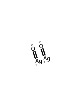 [O]=[Ag].[O]=[Ag]